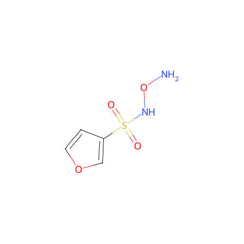 NONS(=O)(=O)c1ccoc1